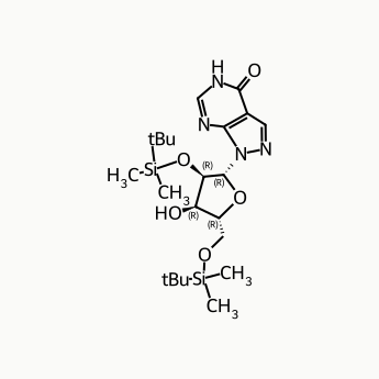 CC(C)(C)[Si](C)(C)OC[C@H]1O[C@@H](n2ncc3c(=O)[nH]cnc32)[C@H](O[Si](C)(C)C(C)(C)C)[C@@H]1O